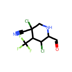 N#CC1(Cl)CNC(C=O)C(Cl)C1C(F)(F)F